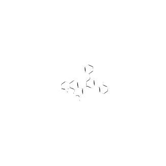 Cc1ccc2ccc3c(-c4cc(-c5ccccc5)cc(-c5ccccc5)c4)cc(C)nc3c2n1